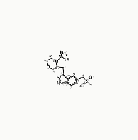 CS(=O)(=O)Cc1ccc2[nH]cc(C[C@H]3COCCN3C(N)=S)c2c1